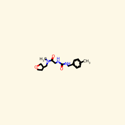 Cc1ccc(CNC(=O)NCC(=O)N(C)CC2CCOC2)cc1